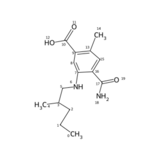 CCCC(C)CNc1cc(C(=O)O)c(C)cc1C(N)=O